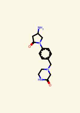 NC1CC(=O)N(c2ccc(CN3CCNC(=O)C3)cc2)C1